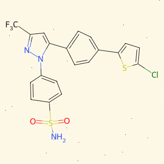 NS(=O)(=O)c1ccc(-n2nc(C(F)(F)F)cc2-c2ccc(-c3ccc(Cl)s3)cc2)cc1